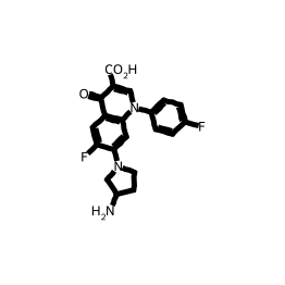 NC1CCN(c2cc3c(cc2F)c(=O)c(C(=O)O)cn3-c2ccc(F)cc2)C1